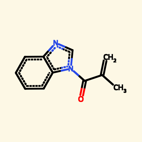 C=C(C)C(=O)n1cnc2ccccc21